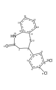 O=C1CC(c2ccc(Cl)c(Cl)c2)Sc2ccccc2N1